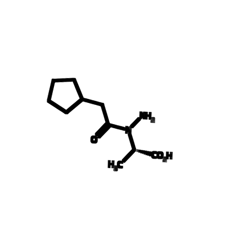 C[C@@H](C(=O)O)N(N)C(=O)CC1CCCC1